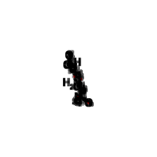 COCCCn1c([C@@H]2CCCN(C(=O)C[C@H](N)Cc3ccc(-c4ccc(C(=O)NCCOC)cc4)cc3)C2)nc2ccccc21